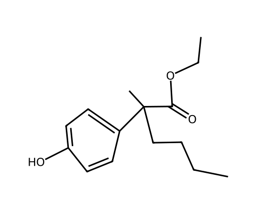 CCCCC(C)(C(=O)OCC)c1ccc(O)cc1